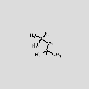 CC[Si](C)(C)N[SiH](C)C